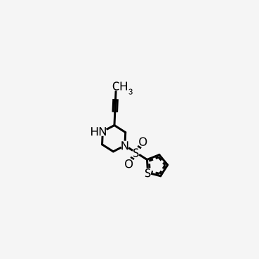 CC#CC1CN(S(=O)(=O)c2cccs2)CCN1